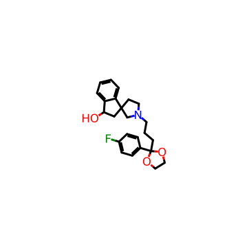 OC1CC2(CCN(CCCC3(c4ccc(F)cc4)OCCO3)C2)c2ccccc21